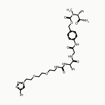 CC(C)c1cn(CCOCCOCCNC(=O)NC(C(=O)NCC(=O)Nc2ccc(COC(=O)N(C)[C@H](C(N)=O)C(C)C)cc2)C(C)C)nn1